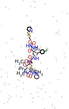 CCC(C)[C@H](NC(=O)[C@H]1CCCCN1C)C(=O)N(C)[C@H](C[C@@H](OC(C)O)c1nc(C(=O)N[C@@H](CCc2ccc(F)cc2)C[C@H](C)C(=O)NNC(=O)OCCSSc2ccccn2)cs1)C(C)C